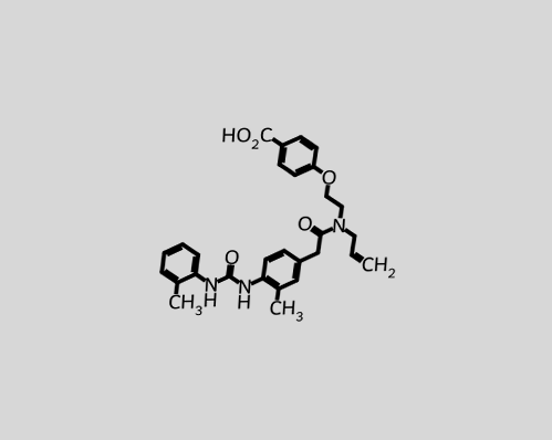 C=CCN(CCOc1ccc(C(=O)O)cc1)C(=O)Cc1ccc(NC(=O)Nc2ccccc2C)c(C)c1